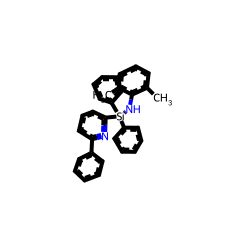 Cc1cccc(C)c1N[Si](c1ccccc1)(c1ccccc1)c1cccc(-c2ccccc2)n1